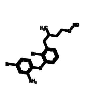 CC(CCON=O)Cc1cccc(Sc2ccc(Br)cc2N)c1Br